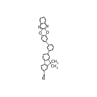 CC1(C)c2cc(C#N)ccc2-c2ccc(-c3cccc(-c4ccc5c(c4)Oc4nc6ccccc6nc4O5)c3)cc21